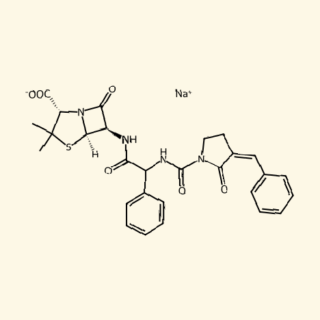 CC1(C)S[C@@H]2[C@H](NC(=O)C(NC(=O)N3CCC(=Cc4ccccc4)C3=O)c3ccccc3)C(=O)N2[C@H]1C(=O)[O-].[Na+]